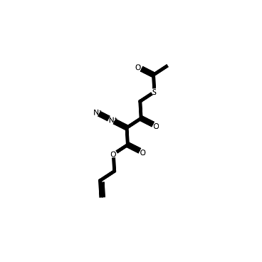 C=CCOC(=O)C(=[N+]=[N-])C(=O)CSC(C)=O